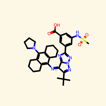 CC(C)(C)C1=Nn2nc(-c3cc(NS(C)(=O)=O)cc(C(=O)O)c3)nc2/C1=N\c1c2c(c(N3CCCC3)c3c1CCCC3)CCCC2